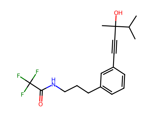 CC(C)C(C)(O)C#Cc1cccc(CCCNC(=O)C(F)(F)F)c1